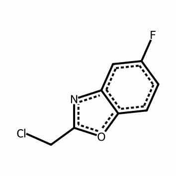 Fc1ccc2oc(CCl)nc2c1